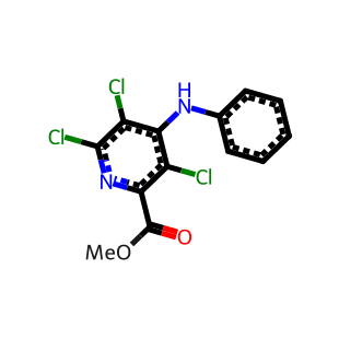 COC(=O)c1nc(Cl)c(Cl)c(Nc2ccccc2)c1Cl